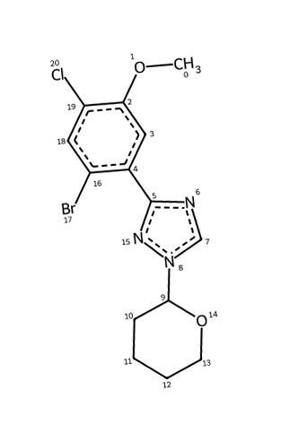 COc1cc(-c2ncn(C3CCCCO3)n2)c(Br)cc1Cl